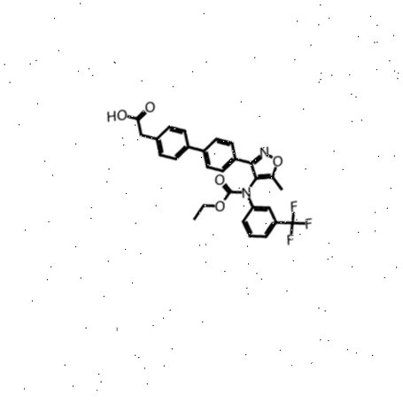 CCOC(=O)N(c1cccc(C(F)(F)F)c1)c1c(-c2ccc(-c3ccc(CC(=O)O)cc3)cc2)noc1C